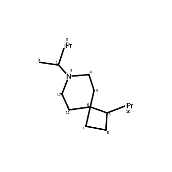 CC(C)C(C)N1CCC2(CCC2C(C)C)CC1